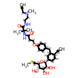 C#CCN(C)CCNC(=O)C(C)(C)NC(=O)CCOc1ccc(Cc2cc([C@@H]3OC(C#SC)[C@@H](O)[C@H](O)[C@H]3O)ccc2C#C)cc1